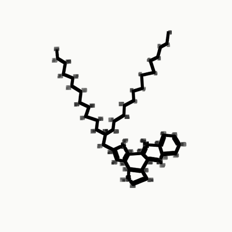 CCCCCCCCCCCCCCC(CCCCCCCCCCCC)Cc1cc2c3sccc3c3nc4ccccc4nc3c2s1